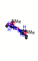 CN[C@@H](C)C(=O)N[C@H]1CC[C@H](n2cc(COCc3cn([C@H]4CC[C@H](NC(=O)[C@H](C)NC)C(=O)N5[C@H](CC[C@H]5C(=O)N[C@@H]5CCCc6ccccc65)C4)nn3)nn2)C[C@H]2CC[C@@H](C(=O)NC3CCCc4ccccc43)N2C1=O